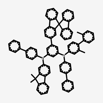 Cc1ccccc1-c1ccc(N(c2ccc(-c3ccccc3)cc2)c2cc(-c3ccc4c(c3)C3(c5ccccc5-c5ccccc53)c3ccccc3-4)cc(N(c3ccc(-c4ccccc4)cc3)c3ccc4c(c3)C(C)(C)c3ccccc3-4)c2)cc1C